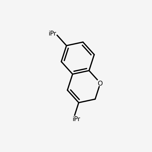 CC(C)C1=Cc2cc(C(C)C)ccc2OC1